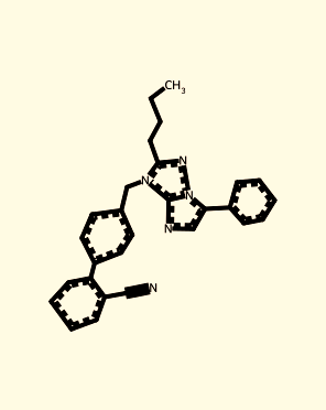 CCCCc1nn2c(-c3ccccc3)cnc2n1Cc1ccc(-c2ccccc2C#N)cc1